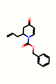 C=CCC1CC(=O)C=CN1C(=O)OCc1ccccc1